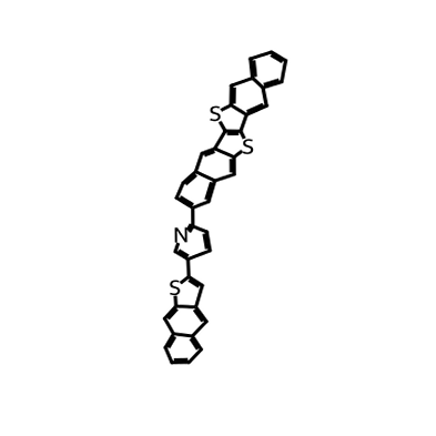 c1ccc2cc3sc(-c4ccc(-c5ccc6cc7c(cc6c5)sc5c6cc8ccccc8cc6sc75)nc4)cc3cc2c1